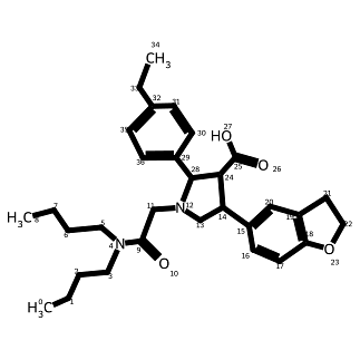 CCCCN(CCCC)C(=O)CN1CC(c2ccc3c(c2)CCO3)C(C(=O)O)C1c1ccc(CC)cc1